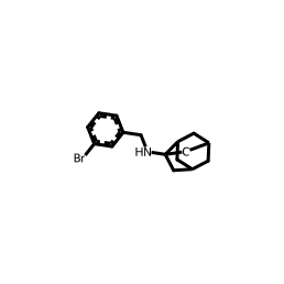 Brc1cccc(CNC23CC4CC(CC2C4)C3)c1